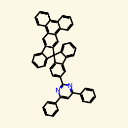 c1ccc(-c2cc(-c3ccccc3)nc(-c3ccc4c(c3)-c3ccccc3C43c4ccccc4-c4cc5c6ccccc6c6ccccc6c5cc43)n2)cc1